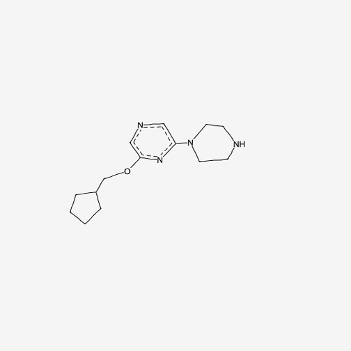 c1ncc(N2CCNCC2)nc1OCC1CCCC1